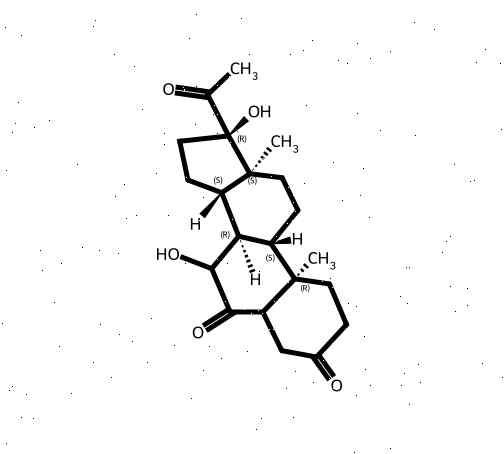 CC(=O)[C@@]1(O)CC[C@H]2[C@@H]3C(O)C(=O)C4CC(=O)CC[C@]4(C)[C@H]3CC[C@@]21C